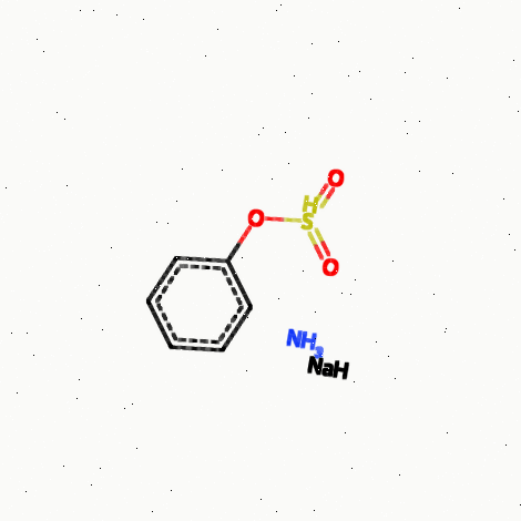 N.O=[SH](=O)Oc1ccccc1.[NaH]